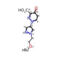 CCCCOCCn1cc(-n2ccc(=O)c(C(=O)O)n2)cn1